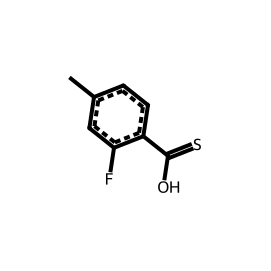 Cc1ccc(C(O)=S)c(F)c1